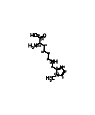 Cn1ccnc1CNCCCCC(N)C(=O)O